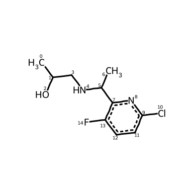 CC(O)CNC(C)c1nc(Cl)ccc1F